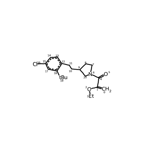 C=C(OCC)C(=O)N1CCC(CCc2ccc(Cl)cc2C(C)(C)C)C1